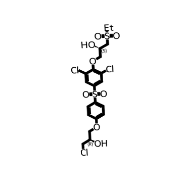 CCS(=O)(=O)C[C@@H](O)COc1c(Cl)cc(S(=O)(=O)c2ccc(OC[C@@H](O)CCl)cc2)cc1Cl